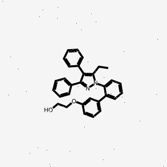 CCc1c(-c2ccccc2)c(-c2ccccc2)nn1-c1ccccc1-c1cccc(OCCO)c1